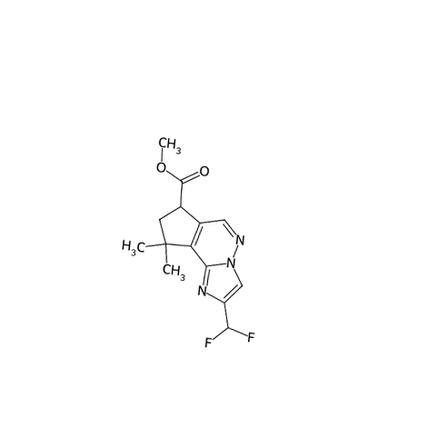 COC(=O)C1CC(C)(C)c2c1cnn1cc(C(F)F)nc21